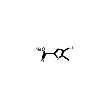 CCc1cc(C(=O)OC)sc1C